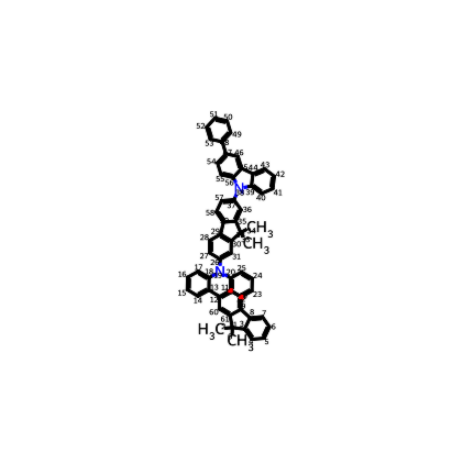 CC1(C)c2ccccc2-c2ccc(-c3ccccc3N(c3ccccc3)c3ccc4c(c3)C(C)(C)c3cc(-n5c6ccccc6c6cc(-c7ccccc7)ccc65)ccc3-4)cc21